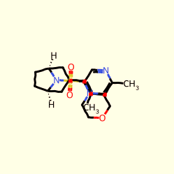 Cc1cc(C)c(S(=O)(=O)N2[C@@H]3CC[C@H]2CC(CN2CCOCC2)C3)cn1